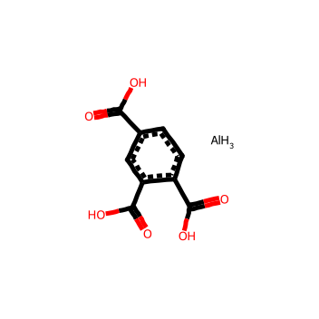 O=C(O)c1ccc(C(=O)O)c(C(=O)O)c1.[AlH3]